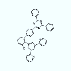 c1ccc(-c2nc(-c3ccccc3)nc(-c3ccc(-c4cccc5oc6c(-c7ccccn7)cc(-c7ccccn7)cc6c45)cc3)n2)cc1